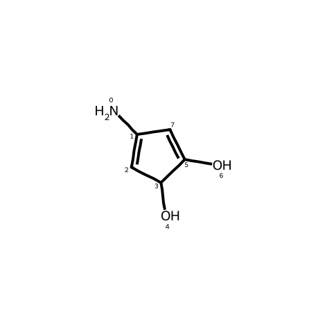 NC1=CC(O)C(O)=C1